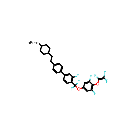 CCCCCC1CCC(CCc2ccc(-c3ccc(C(F)(F)Oc4cc(F)c(OC(F)=C(F)F)c(F)c4)c(F)c3)cc2)CC1